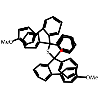 COc1ccc(-c2ccccc2C(SC(c2ccccc2)(c2ccccc2)c2ccccc2-c2ccc(OC)cc2)(c2ccccc2)c2ccccc2)cc1